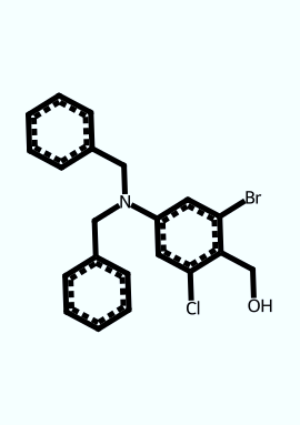 OCc1c(Cl)cc(N(Cc2ccccc2)Cc2ccccc2)cc1Br